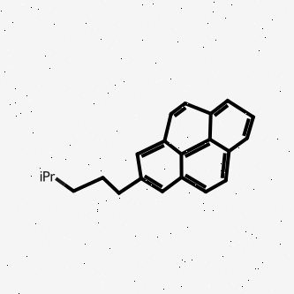 CC(C)CCCc1cc2ccc3cccc4ccc(c1)c2c34